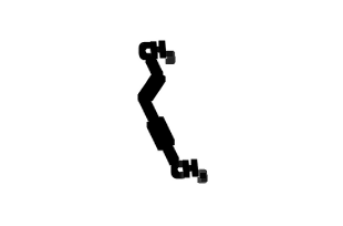 CC#CC=CC